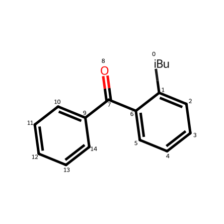 CCC(C)c1ccccc1C(=O)c1ccccc1